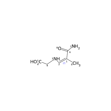 C/C(=C/NCC(=O)O)C(N)=O